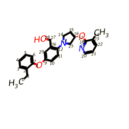 CCc1ccccc1Oc1ccc(N2CC[C@H](Oc3ncccc3C)C2)c(CO)c1